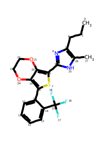 CCCc1nc(-c2sc(-c3ccccc3C(F)(F)F)c3c2OCCO3)[nH]c1C